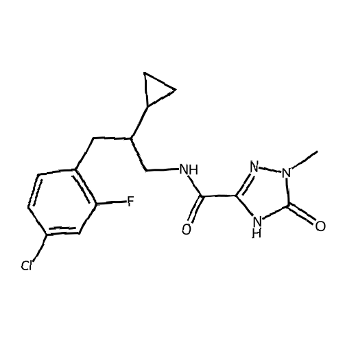 Cn1nc(C(=O)NCC(Cc2ccc(Cl)cc2F)C2CC2)[nH]c1=O